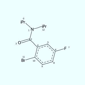 CC(C)N(C(=O)c1cc(F)ccc1Br)C(C)C